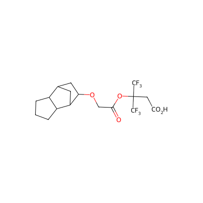 O=C(O)CC(OC(=O)COC1CC2CC1C1CCCC21)(C(F)(F)F)C(F)(F)F